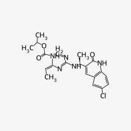 C=N/C(=N\C(=C/C)NC(=O)OC(C)C)N[C@@H](C)c1cc2cc(Cl)ccc2[nH]c1=O